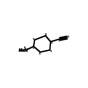 C#CC1CCC(NC)CC1